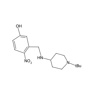 CC(C)(C)N1CCC(NCc2cc(O)ccc2[N+](=O)[O-])CC1